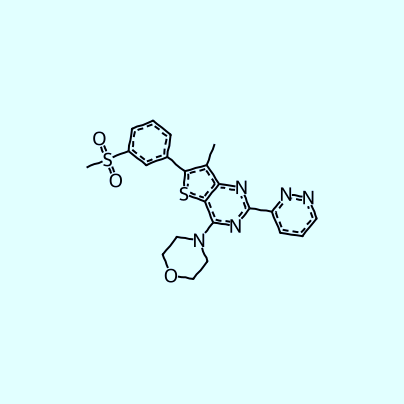 Cc1c(-c2cccc(S(C)(=O)=O)c2)sc2c(N3CCOCC3)nc(-c3cccnn3)nc12